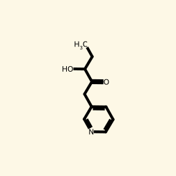 CCC(O)C(=O)Cc1cccnc1